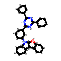 c1ccc(-c2nc(-c3ccccc3)nc(-c3cccc(-n4c5ccccc5c5c6ccccc6oc54)c3)n2)cc1